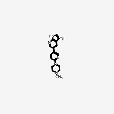 [2H]c1c[nH]c2ncc(-c3ccc(N4CCN(C)CC4)nc3)cc12